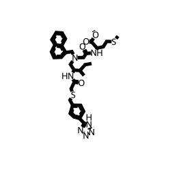 CCC(C)C(CN(CC(=O)NC(CCSC)C(=O)OC)Cc1cccc2ccccc12)NC(=O)CSCc1ccc(-c2nnn[nH]2)cc1